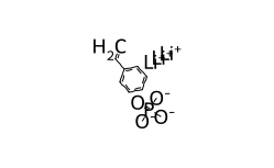 C=Cc1ccccc1.O=P([O-])([O-])[O-].[Li+].[Li+].[Li+]